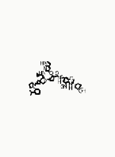 CC(C)c1ccccc1[C@H]1CCCN1C1CC2(CCN3/C(=C(/C4CC4)Nc4nc5[nH]ccc5cc4Oc4cc3ccc4C(=O)NSc3cc(N=O)c4c(c3)OCC([C@H]3CC[C@](C)(O)CC3)N4)C2)C1